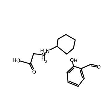 NC1CCCCC1.NCC(=O)O.O=Cc1ccccc1O